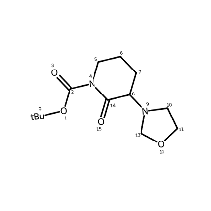 CC(C)(C)OC(=O)N1CCCC(N2CCOC2)C1=O